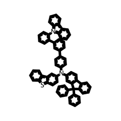 c1ccc(C2(c3ccccc3)c3ccccc3-c3ccc(N(c4ccc(-c5cccc(-c6ccccc6-n6c7ccccc7c7ccccc76)c5)cc4)c4ccc5sc6ccccc6c5c4)cc32)cc1